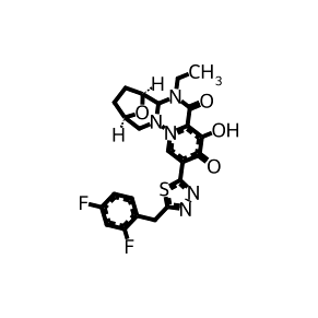 CCN1C(=O)c2c(O)c(=O)c(-c3nnc(Cc4ccc(F)cc4F)s3)cn2N2C[C@H]3CC[C@H](O3)C12